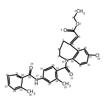 CCOC(=O)C=C1CCCN(C(=O)c2ccc(NC(=O)c3ccccc3C)cc2C)c2ccc(Cl)cc21